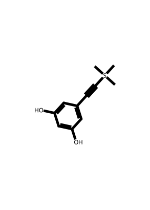 CS(C)(C)C#Cc1cc(O)cc(O)c1